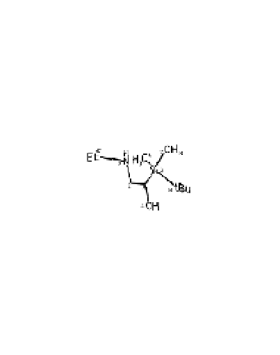 CCNCC(O)[Si](C)(C)C(C)(C)C